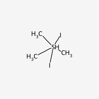 C[SH](C)(C)(I)I